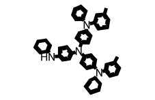 Cc1cccc(N(c2ccccc2)c2ccc(N(c3ccc(NC4=CCCC=C4)cc3)c3ccc(N(c4cccc(C)c4)C4C=CC=CC4)cc3)cc2)c1